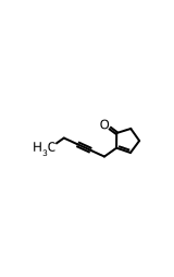 CCC#CCC1=CCCC1=O